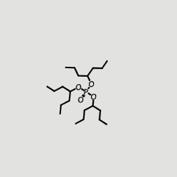 CCCC(CCC)OP(=O)(OC(CCC)CCC)OC(CCC)CCC